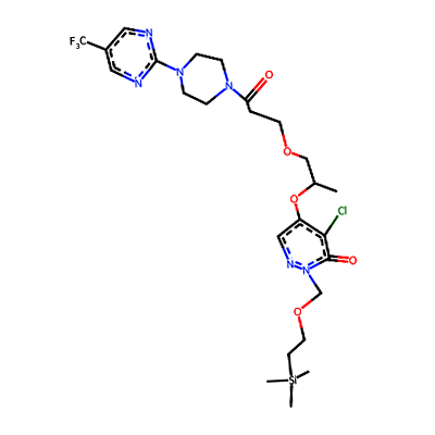 CC(COCCC(=O)N1CCN(c2ncc(C(F)(F)F)cn2)CC1)Oc1cnn(COCC[Si](C)(C)C)c(=O)c1Cl